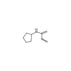 C=NC(=C)NC1CCCC1